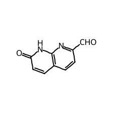 O=Cc1ccc2ccc(=O)[nH]c2n1